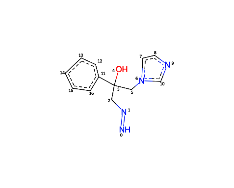 N=NCC(O)(Cn1ccnc1)c1ccccc1